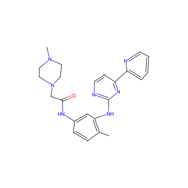 Cc1ccc(NC(=O)CN2CCN(C)CC2)cc1Nc1nccc(-c2ccccn2)n1